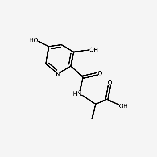 CC(NC(=O)c1ncc(O)cc1O)C(=O)O